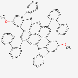 COc1cc2c3c(c1)-c1cc(-c4ccccc4-c4ccccc4)c4cc5c6c(cc(-c7ccccc7-c7ccccc7)c7cc(c1c4c76)B3c1ccccc1-2)-c1cc(OC)cc2c1B5c1ccccc1-2